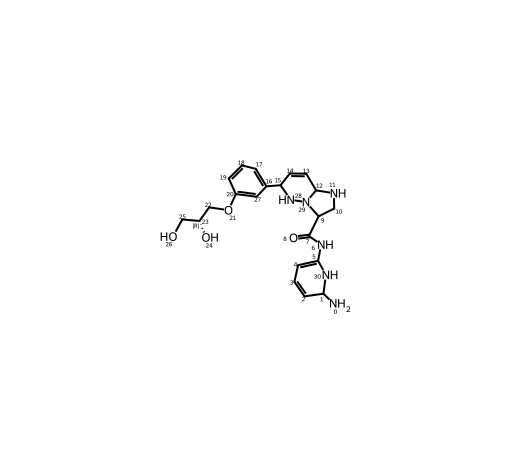 NC1C=CC=C(NC(=O)C2CNC3C=CC(c4cccc(OC[C@H](O)CO)c4)NN32)N1